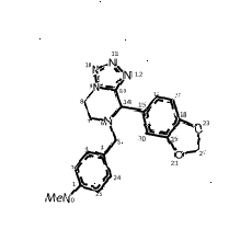 CNc1ccc(CN2CCn3nnnc3C2c2ccc3c(c2)OCO3)cc1